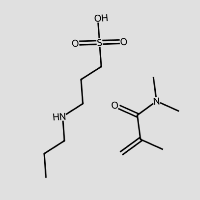 C=C(C)C(=O)N(C)C.CCCNCCCS(=O)(=O)O